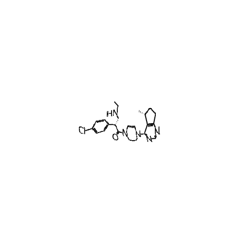 CCNC[C@H](C(=O)N1CCN(c2ncnc3c2[C@H](C)CC3)CC1)c1ccc(Cl)cc1